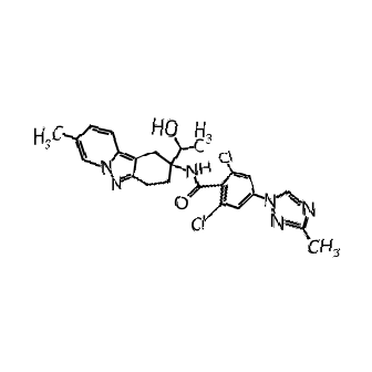 Cc1ccc2c3c(nn2c1)CCC(NC(=O)c1c(Cl)cc(-n2cnc(C)n2)cc1Cl)(C(C)O)C3